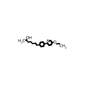 C=CCOc1ccc(-c2ccc(C=CCCCC(C)O)cc2)nc1